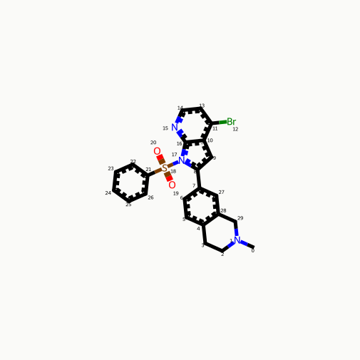 CN1CCc2ccc(-c3cc4c(Br)ccnc4n3S(=O)(=O)c3ccccc3)cc2C1